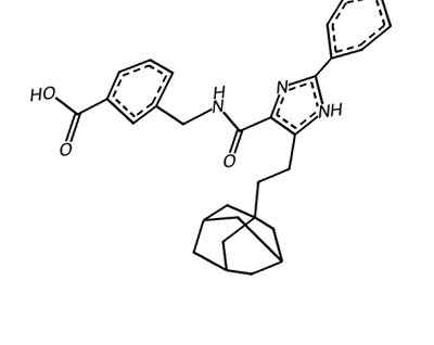 O=C(O)c1cccc(CNC(=O)c2nc(-c3ccccc3)[nH]c2CCC23CC4CC(CC(C4)C2)C3)c1